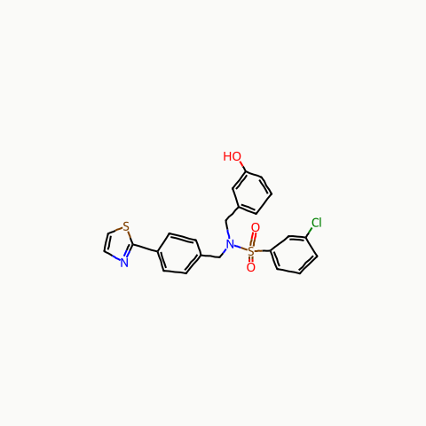 O=S(=O)(c1cccc(Cl)c1)N(Cc1ccc(-c2nccs2)cc1)Cc1cccc(O)c1